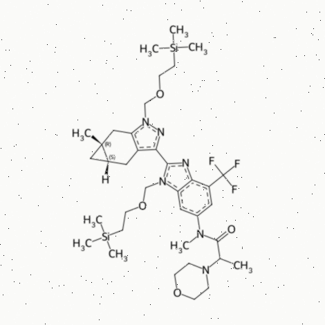 CC(C(=O)N(C)c1cc(C(F)(F)F)c2nc(-c3nn(COCC[Si](C)(C)C)c4c3C[C@@H]3C[C@]3(C)C4)n(COCC[Si](C)(C)C)c2c1)N1CCOCC1